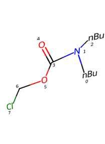 CCCCN(CCCC)C(=O)OCCl